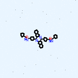 c1ccc(-c2nnc(-c3ccc(/C4=N/c5cc6ccccc6cc5/C(c5ccc(-c6nnc(-c7ccccc7)o6)cc5)=N\c5cc6ccccc6cc54)cc3)o2)cc1